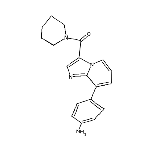 Nc1ccc(-c2cccn3c(C(=O)N4CCCCC4)cnc23)cc1